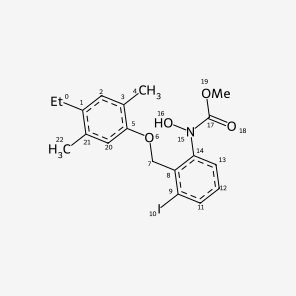 CCc1cc(C)c(OCc2c(I)cccc2N(O)C(=O)OC)cc1C